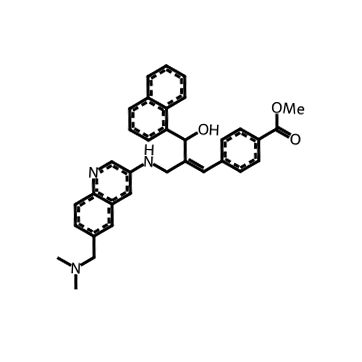 COC(=O)c1ccc(C=C(CNc2cnc3ccc(CN(C)C)cc3c2)C(O)c2cccc3ccccc23)cc1